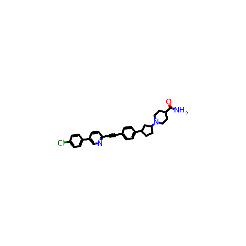 NC(=O)C1CCN(C2CCC(c3ccc(C#Cc4ccc(-c5ccc(Cl)cc5)cn4)cc3)C2)CC1